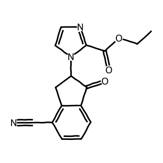 CCOC(=O)c1nccn1C1Cc2c(C#N)cccc2C1=O